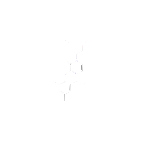 COCc1cc(C)cc(C)c1Nc1nc(C)cn(C(COC)COC)c1=O